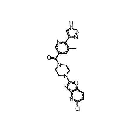 Cc1cc(C(=O)N2CCN(c3nc4nc(Cl)ccc4o3)CC2)cnc1-c1c[nH]nn1